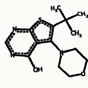 CC(C)(C)c1sc2ncnc(O)c2c1N1CCOCC1